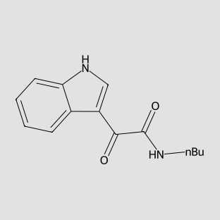 CCCCNC(=O)C(=O)c1c[nH]c2ccccc12